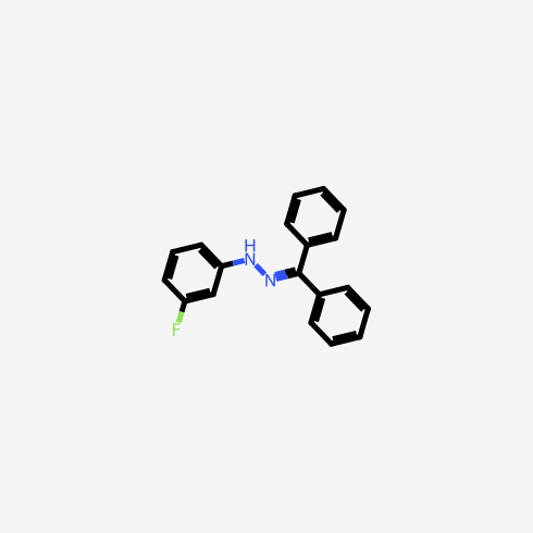 Fc1cccc(NN=C(c2ccccc2)c2ccccc2)c1